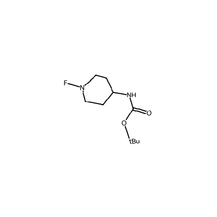 CC(C)(C)OC(=O)NC1CCN(F)CC1